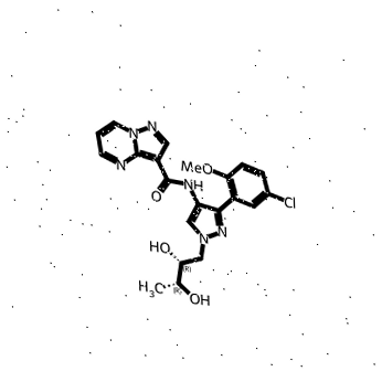 COc1ccc(Cl)cc1-c1nn(C[C@@H](O)[C@@H](C)O)cc1NC(=O)c1cnn2cccnc12